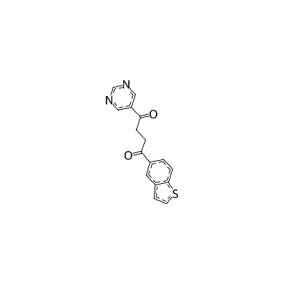 O=C(CCC(=O)c1ccc2sccc2c1)c1cncnc1